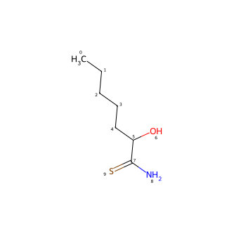 CCCCCC(O)C(N)=S